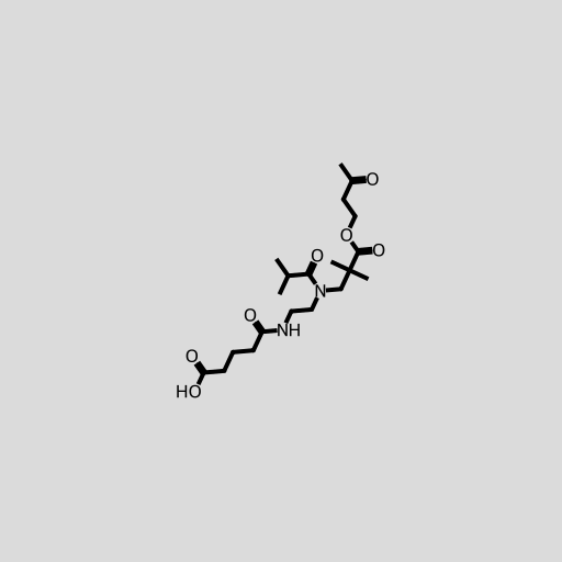 CC(=O)CCOC(=O)C(C)(C)CN(CCNC(=O)CCCC(=O)O)C(=O)C(C)C